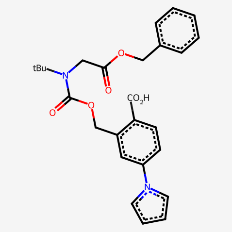 CC(C)(C)N(CC(=O)OCc1ccccc1)C(=O)OCc1cc(-n2cccc2)ccc1C(=O)O